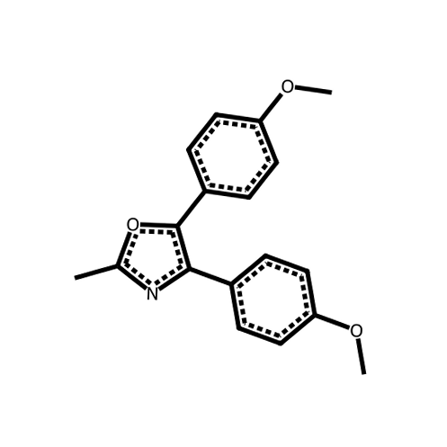 COc1ccc(-c2nc(C)oc2-c2ccc(OC)cc2)cc1